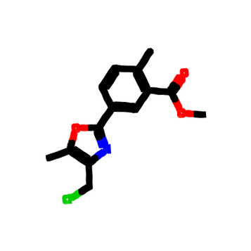 COC(=O)c1cc(-c2nc(CCl)c(C)o2)ccc1C